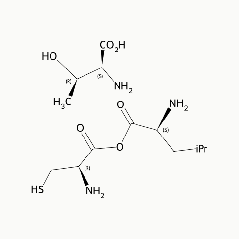 CC(C)C[C@H](N)C(=O)OC(=O)[C@@H](N)CS.C[C@@H](O)[C@H](N)C(=O)O